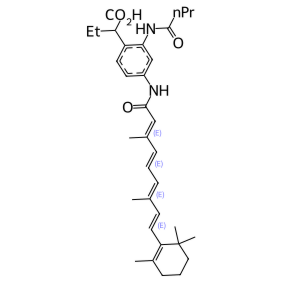 CCCC(=O)Nc1cc(NC(=O)/C=C(C)/C=C/C=C(C)/C=C/C2=C(C)CCCC2(C)C)ccc1C(CC)C(=O)O